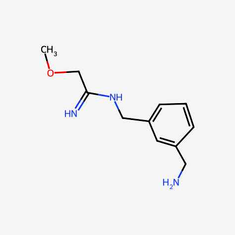 COCC(=N)NCc1cccc(CN)c1